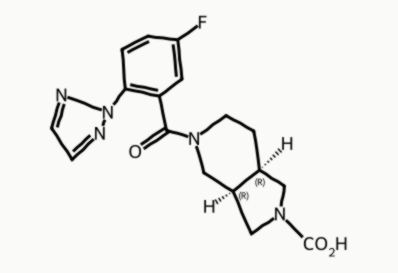 O=C(O)N1C[C@@H]2CCN(C(=O)c3cc(F)ccc3-n3nccn3)C[C@@H]2C1